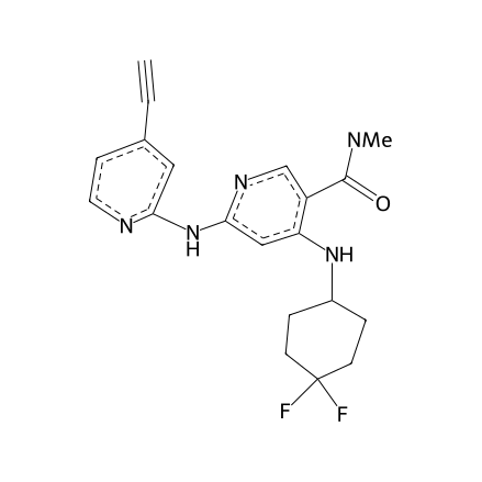 C#Cc1ccnc(Nc2cc(NC3CCC(F)(F)CC3)c(C(=O)NC)cn2)c1